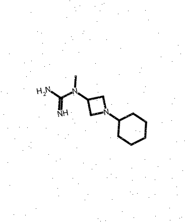 CN(C(=N)N)C1CN(C2CCCCC2)C1